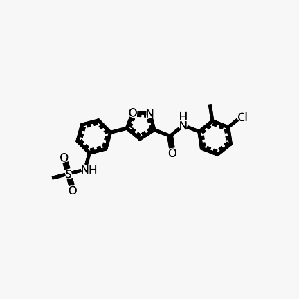 Cc1c(Cl)cccc1NC(=O)c1cc(-c2cccc(NS(C)(=O)=O)c2)on1